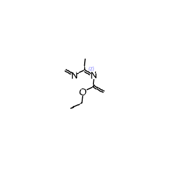 C=N/C(C)=N\C(=C)OCC